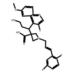 COc1ccc2ncc(F)c(C(CCO)C3(C(=O)O)CN(CC=Cc4cc(F)ccc4F)C3)c2c1